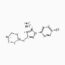 Cl.Cl.Clc1ccc(-n2cc(CN3CCNCC3)nn2)cc1